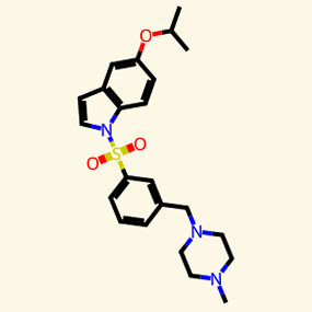 CC(C)Oc1ccc2c(ccn2S(=O)(=O)c2cccc(CN3CCN(C)CC3)c2)c1